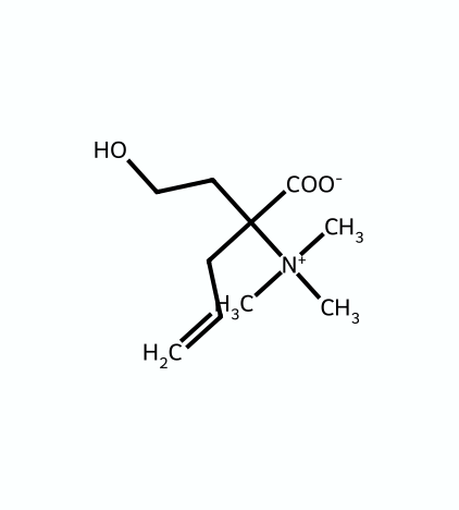 C=CCC(CCO)(C(=O)[O-])[N+](C)(C)C